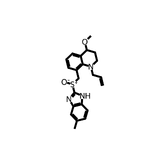 C=CCN1CCC(OC)c2cccc(C[S+]([O-])c3nc4cc(C)ccc4[nH]3)c21